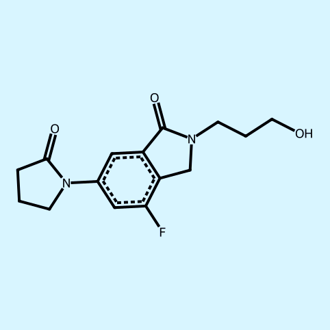 O=C1c2cc(N3CCCC3=O)cc(F)c2CN1CCCO